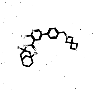 CCC1(NC(=O)c2cc(-c3ccc(CN4CC5(COC5)C4)cc3)cnc2N)CC2CCCC(O)(C2)C1